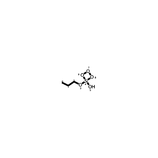 CCCO[Si]1(O)OOO1